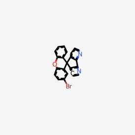 Brc1ccc2c(c1)C1(c3ccccc3O2)c2cccnc2-c2ncccc21